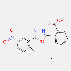 Cc1ccc([N+](=O)[O-])cc1-c1nnc(-c2ccccc2C(=O)O)o1